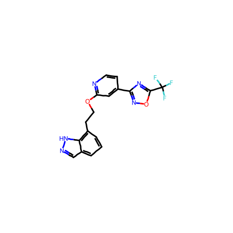 FC(F)(F)c1nc(-c2ccnc(OCCc3cccc4cn[nH]c34)c2)no1